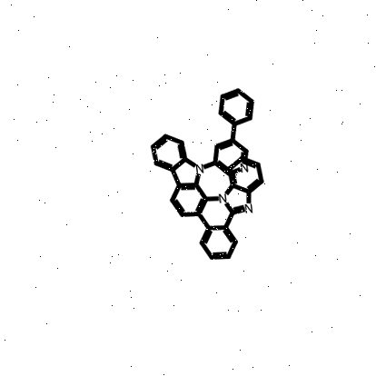 c1ccc(-c2cncc(-n3c4ccccc4c4ccc5c6ccccc6c6nc7ccccc7n6c5c43)c2)cc1